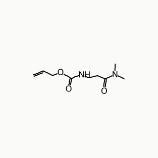 C=CCOC(=O)NCCC(=O)N(C)C